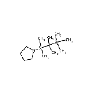 CC(C)([Si](C)(C)C)[Si](C)(C)N1CCCC1